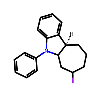 IC1CCC[C@@H]2c3ccccc3N(c3ccccc3)C2C1